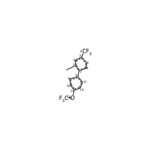 Cc1cc(C(F)(F)F)ccc1-c1ccc(OC(F)(F)F)cc1